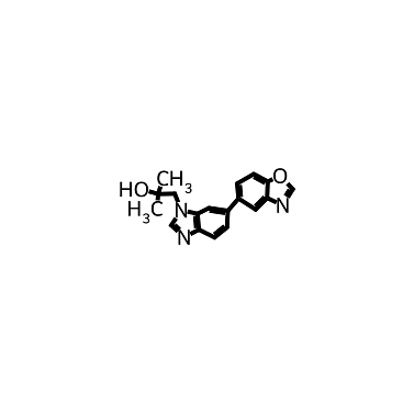 CC(C)(O)Cn1cnc2ccc(-c3ccc4ocnc4c3)cc21